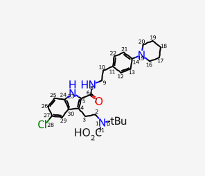 CC(C)(C)N(CCc1c(C(=O)NCCc2ccc(N3CCCCC3)cc2)[nH]c2ccc(Cl)cc12)C(=O)O